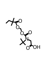 CCC(C)(C)C(=O)OCOC(=O)N(CC(=O)O)C(C)(C)C